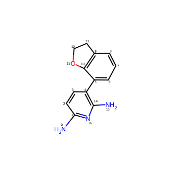 Nc1ccc(-c2cccc3c2OCC3)c(N)n1